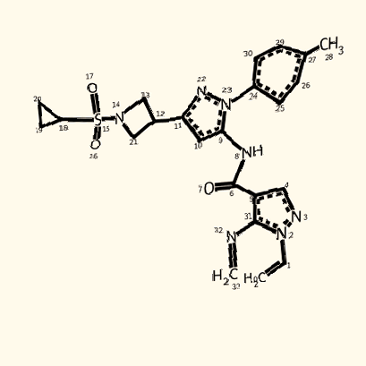 C=Cn1ncc(C(=O)Nc2cc(C3CN(S(=O)(=O)C4CC4)C3)nn2-c2ccc(C)cc2)c1N=C